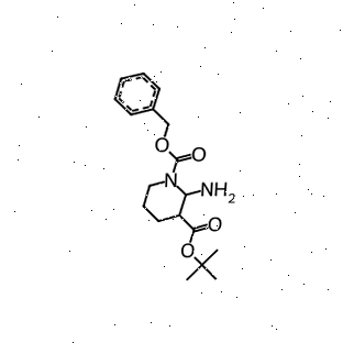 CC(C)(C)OC(=O)C1CCCN(C(=O)OCc2ccccc2)C1N